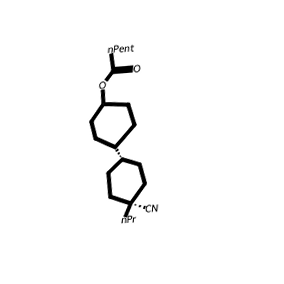 CCCCCC(=O)OC1CCC([C@H]2CC[C@](C#N)(CCC)CC2)CC1